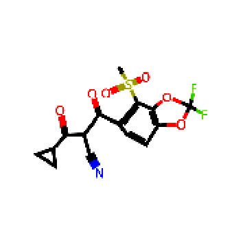 CS(=O)(=O)c1c(C(=O)C(C#N)C(=O)C2CC2)ccc2c1OC(F)(F)O2